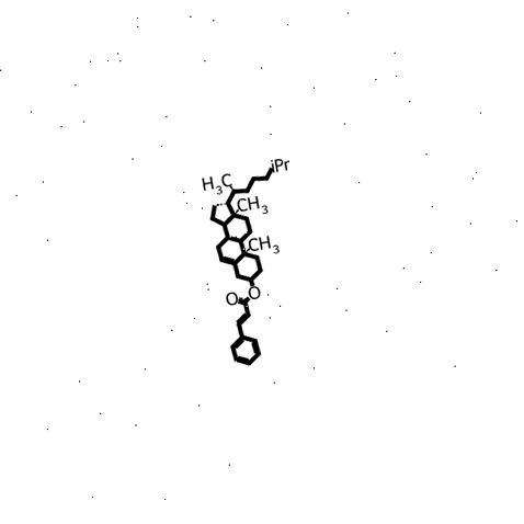 CC(C)CCC[C@@H](C)[C@H]1CCC2C3CC=C4CC(OC(=O)C=Cc5ccccc5)CC[C@]4(C)C3CC[C@@]21C